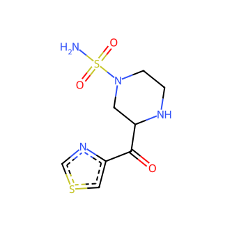 NS(=O)(=O)N1CCNC(C(=O)c2cscn2)C1